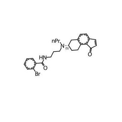 CCCN(CCCNC(=O)c1ccccc1Br)[C@H]1CCc2c(ccc3c2C(=O)C=C3)C1